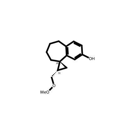 COOC[C@H]1C[C@]12CCCCc1ccc(O)cc12